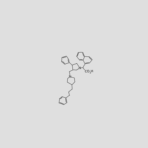 O=C(O)C(c1cccc2ccccc12)N1CC(CN2CCC(CCCc3ccccc3)CC2)C(c2ccccc2)C1